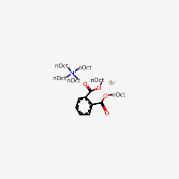 CCCCCCCCOC(=O)c1ccccc1C(=O)OCCCCCCCC.CCCCCCCC[N+](CCCCCCCC)(CCCCCCCC)CCCCCCCC.[Br-]